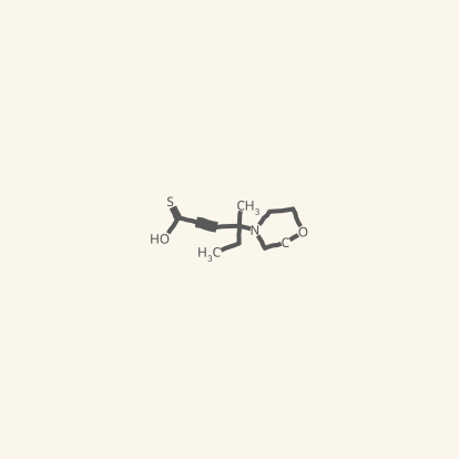 CCC(C)(C#CC(O)=S)N1CCOCC1